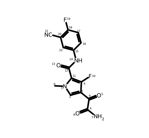 Cn1cc(C(=O)C(N)=O)c(F)c1C(=O)Nc1ccc(F)c(C#N)c1